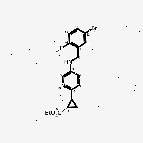 CCOC(=O)[C@H]1C[C@@H]1c1ccc(NCc2cc(Br)ccc2F)cn1